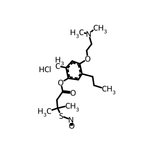 CCCc1cc(OC(=O)CC(C)(C)SN=O)c(C)cc1OCCN(C)C.Cl